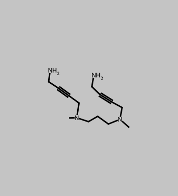 CN(CC#CCN)CCCN(C)CC#CCN